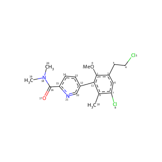 COc1c(CCCl)cc(Cl)c(C)c1-c1ccc(C(=O)N(C)C)nc1